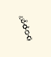 O=C1O[C@@H](CO)CN1c1ccc(N2CCN(c3cncnc3)CC2)c(F)c1